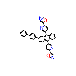 c1ccc(-c2ccc(-c3ccc4c(-c5ccc(-c6cnco6)nc5)c5ccccc5c(-c5ccc(-c6cnco6)nc5)c4c3)cc2)cc1